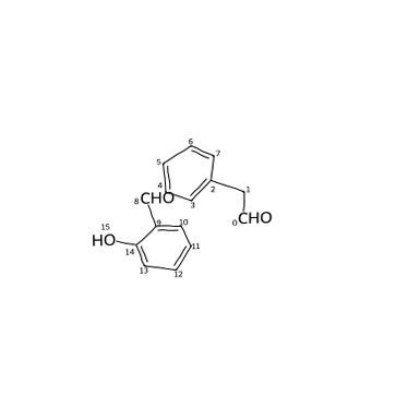 O=CCc1ccccc1.O=Cc1ccccc1O